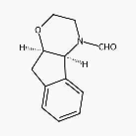 O=CN1CCO[C@@H]2Cc3ccccc3[C@@H]21